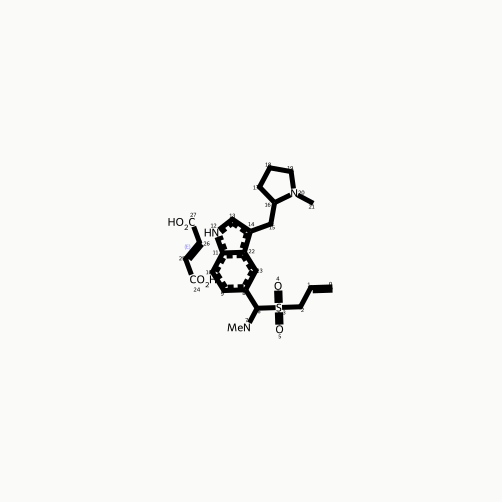 C=CCS(=O)(=O)C(NC)c1ccc2[nH]cc(CC3CCCN3C)c2c1.O=C(O)/C=C/C(=O)O